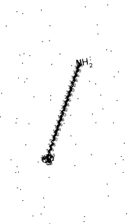 CO[Si](CCCCCCCCCCCCCCCCCCCCCCCCCCCCCCCCCCCCCCN)(OC)OC